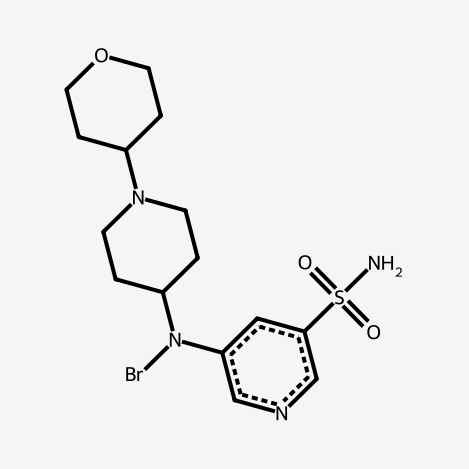 NS(=O)(=O)c1cncc(N(Br)C2CCN(C3CCOCC3)CC2)c1